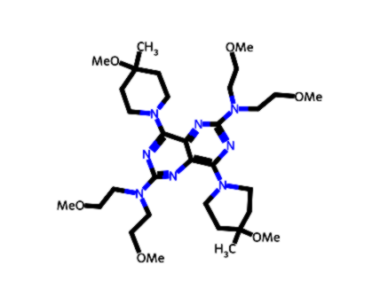 COCCN(CCOC)c1nc(N2CCC(C)(OC)CC2)c2nc(N(CCOC)CCOC)nc(N3CCC(C)(OC)CC3)c2n1